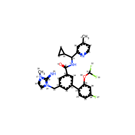 Cc1ccnc(C(NC(=O)c2cc(Cn3ccn(C)c3=N)cc(-c3ccc(F)cc3OC(F)F)c2)C2CC2)c1